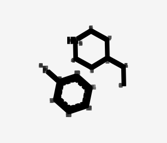 CCC1CCNCC1.Fc1ccccc1